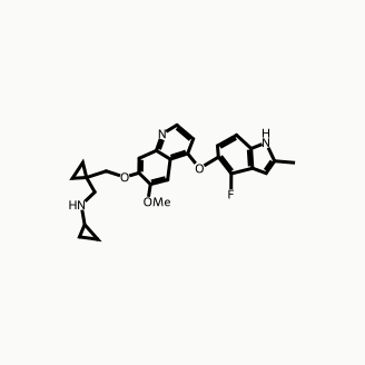 COc1cc2c(Oc3ccc4[nH]c(C)cc4c3F)ccnc2cc1OCC1(CNC2CC2)CC1